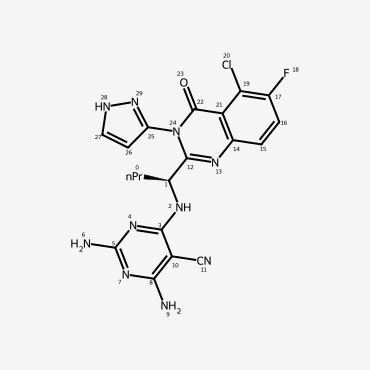 CCC[C@H](Nc1nc(N)nc(N)c1C#N)c1nc2ccc(F)c(Cl)c2c(=O)n1-c1cc[nH]n1